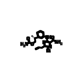 C=CCc1nc(Nc2cccc([C@@H](C)COC(N)=O)c2)c(C(N)=O)nc1CC